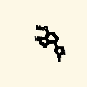 COc1ccc(-c2cnn(C)c2)c2nc[nH]c12